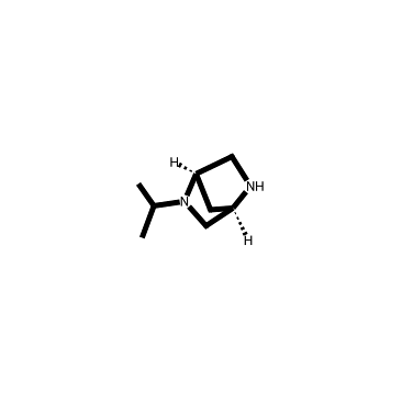 CC(C)N1C[C@H]2C[C@@H]1CN2